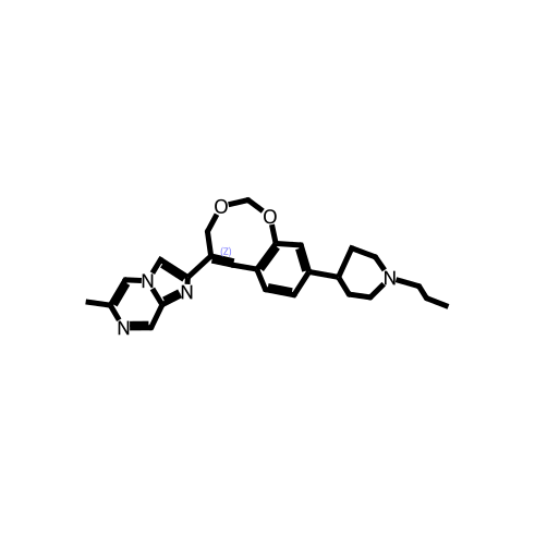 CCCN1CCC(c2ccc3c(c2)OCOC/C(c2cn4cc(C)ncc4n2)=C\3)CC1